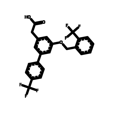 O=C(O)Cc1cc(OCc2ccccc2C(F)(F)F)cc(-c2ccc(C(F)(F)F)cc2)c1